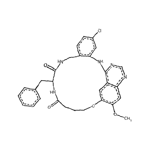 COc1cc2ncnc3c2cc1OCCCC(=O)NC(Cc1ccccc1)C(=O)NCc1ccc(Cl)cc1N3